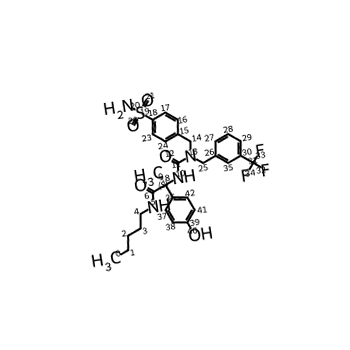 CCCCCNC(=O)[C@@](C)(NC(=O)N(Cc1ccc(S(N)(=O)=O)cc1)Cc1cccc(C(F)(F)F)c1)c1ccc(O)cc1